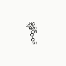 CC(C)(C)OC(=O)N1[C@@H]2CCC(C2)[C@H]1C(=O)NC(C#N)Cc1ccc(-c2ccc(S)cc2)cc1F